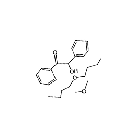 CCCCOCCCC.COC.O=C(c1ccccc1)C(O)c1ccccc1